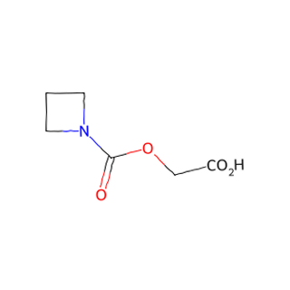 O=C(O)COC(=O)N1CCC1